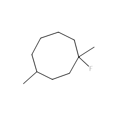 CC1CCCCC(C)(F)CC1